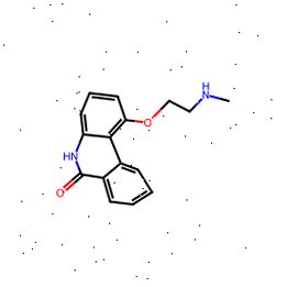 CNCCOc1cccc2[nH]c(=O)c3ccccc3c12